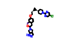 O=C(Cc1ccc(OCC[C@@H]2C[C@@H]2C2CCN(c3ncc(Cl)cn3)CC2)cc1I)N1Cc2cn[nH]c2C1